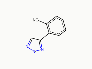 N#Cc1ccccc1C1=N[N]N=C1